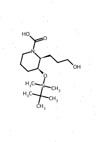 CC(C)(C)[Si](C)(C)O[C@H]1CCCN(C(=O)O)[C@H]1CCCO